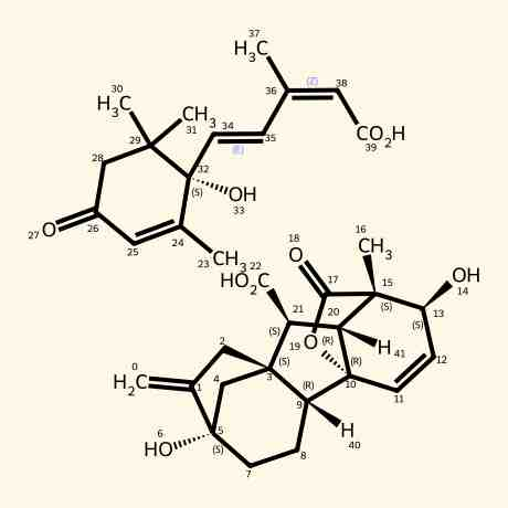 C=C1C[C@]23C[C@@]1(O)CC[C@H]2[C@@]12C=C[C@H](O)[C@@](C)(C(=O)O1)[C@H]2[C@@H]3C(=O)O.CC1=CC(=O)CC(C)(C)[C@@]1(O)/C=C/C(C)=C\C(=O)O